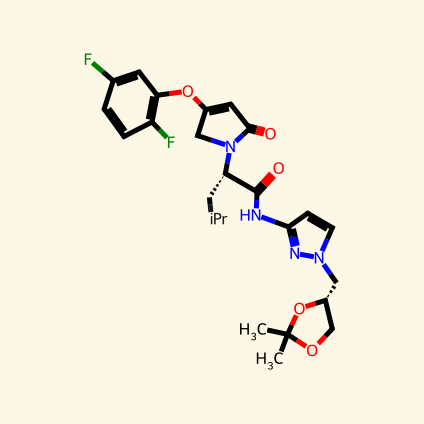 CC(C)C[C@@H](C(=O)Nc1ccn(C[C@@H]2COC(C)(C)O2)n1)N1CC(Oc2cc(F)ccc2F)=CC1=O